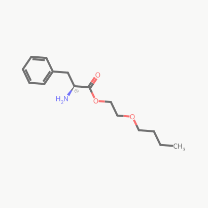 CCCCOCCOC(=O)[C@@H](N)Cc1ccccc1